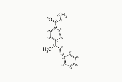 CCC(=O)c1ccc(C(C)/C=C/c2ccccc2)cc1